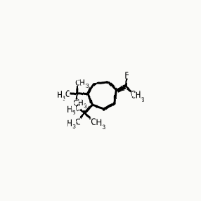 CC(F)=C1CCC(C(C)(C)C)C(C(C)(C)C)CC1